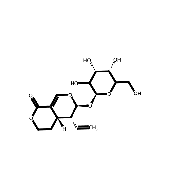 C=C[C@H]1[C@H](O[C@@H]2OC(CO)[C@@H](O)[C@@H](O)C2O)OC=C2C(=O)OCC[C@H]21